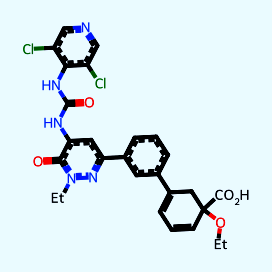 CCOC1(C(=O)O)C=CC=C(c2cccc(-c3cc(NC(=O)Nc4c(Cl)cncc4Cl)c(=O)n(CC)n3)c2)C1